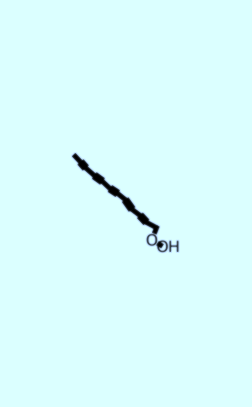 CC#CC#CC#CC#CC#CCOO